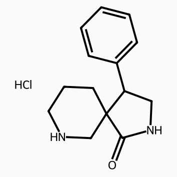 Cl.O=C1NCC(c2ccccc2)C12CCCNC2